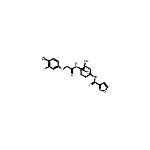 O=C(COc1ccc(Cl)c(F)c1)NC12CCC(NC(=O)c3ccsn3)(CC1)CC2O